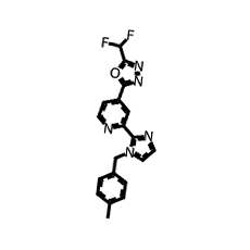 Cc1ccc(Cn2ccnc2-c2cc(-c3nnc(C(F)F)o3)ccn2)cc1